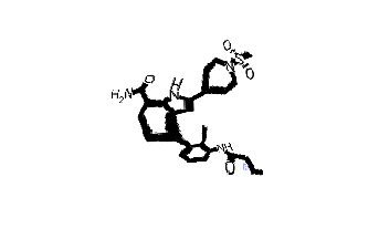 C/C=C/C(=O)Nc1cccc(-c2ccc(C(N)=O)c3[nH]c(C4=CCN(S(C)(=O)=O)CC4)cc23)c1C